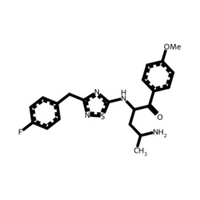 COc1ccc(C(=O)C(CC(C)N)Nc2nc(Cc3ccc(F)cc3)ns2)cc1